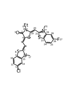 CCn1c(=O)/c(=C/C=C2\Sc3ccc(Cl)cc3N2C)s/c1=C\c1sc2ccc(F)cc2[n+]1C